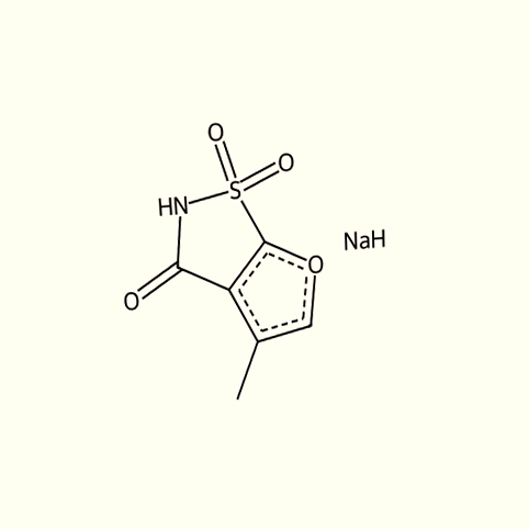 Cc1coc2c1C(=O)NS2(=O)=O.[NaH]